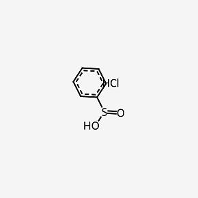 Cl.O=S(O)c1ccccc1